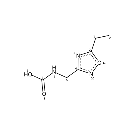 CCc1nc(CNC(=O)O)no1